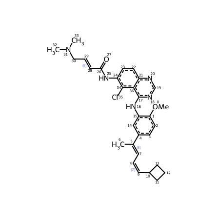 COc1ccc(/C(C)=C/C=C\C2CCC2)cc1Nc1ncnc2ccc(NC(=O)/C=C/CN(C)C)c(Cl)c12